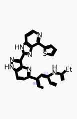 C=C/C(=C\C(=C/C)c1ccc2[nH]nc(-c3nc4c(-c5cccs5)nccc4[nH]3)c2n1)NC(=C)CC